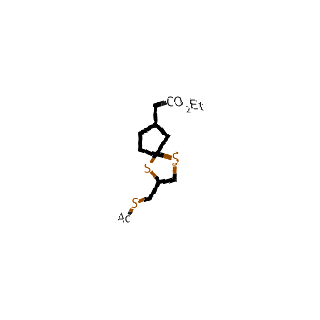 CCOC(=O)CC1CCC2(C1)SCC(CSC(C)=O)S2